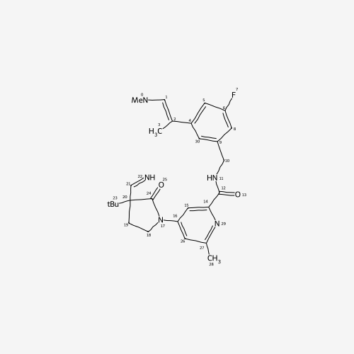 CN/C=C(\C)c1cc(F)cc(CNC(=O)c2cc(N3CCC(C=N)(C(C)(C)C)C3=O)cc(C)n2)c1